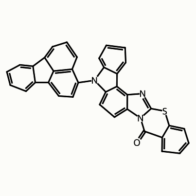 O=c1c2ccccc2sc2nc3c4c5ccccc5n(-c5ccc6c7c(cccc57)-c5ccccc5-6)c4ccc3n12